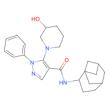 O=C(NC1CCC2CC3CC1(C2)C3)c1cnn(-c2ccccc2)c1N1CCCC(O)C1